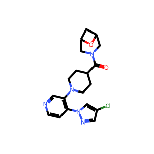 O=C(C1CCN(c2cnccc2-n2cc(Cl)cn2)CC1)N1CC2CC(C1)O2